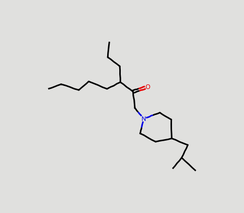 CCCCCC(CCC)C(=O)CN1CCC(CC(C)C)CC1